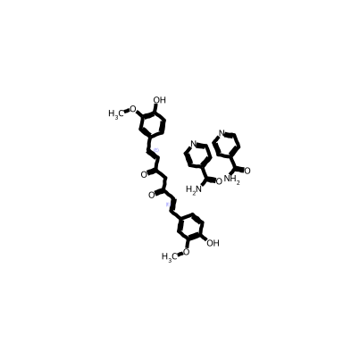 COc1cc(/C=C/C(=O)CC(=O)/C=C/c2ccc(O)c(OC)c2)ccc1O.NC(=O)c1ccncc1.NC(=O)c1ccncc1